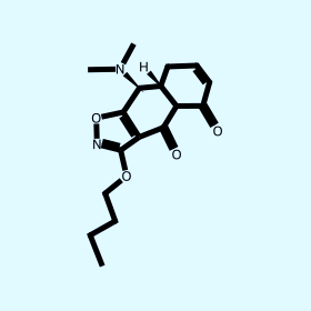 CCCCOc1noc2c1C(=O)C1C(=O)C=CC[C@H]1[C@@H]2N(C)C